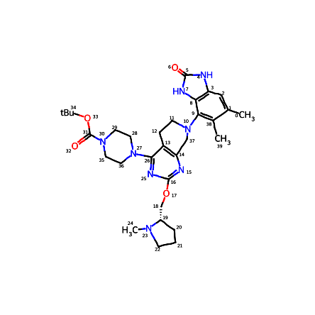 Cc1cc2[nH]c(=O)[nH]c2c(N2CCc3c(nc(OC[C@@H]4CCCN4C)nc3N3CCN(C(=O)OC(C)(C)C)CC3)C2)c1C